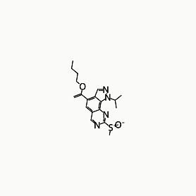 C=C(OCCCC)c1cc2cnc([S+](C)[O-])nc2c2c1cnn2C(C)C